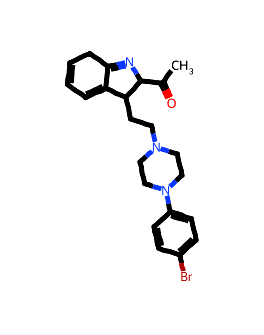 CC(=O)C1N=C2CC=CC=C2C1CCN1CCN(c2ccc(Br)cc2)CC1